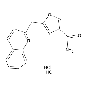 Cl.Cl.NC(=O)c1coc(Cc2ccc3ccccc3n2)n1